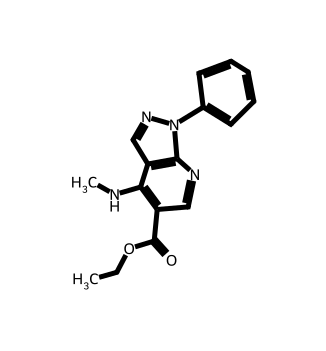 CCOC(=O)c1cnc2c(cnn2-c2ccccc2)c1NC